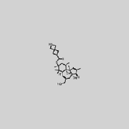 CC1=C[C@H]2[C@@]3(O)[C@H](C)C[C@@](C)(OC(=O)C4CC5(CNC5)C4)C(C)(C)[C@@H]3C=C(CO)C[C@]2(O)C1=O